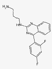 NCCCNc1nc(-c2ccc(F)cc2F)c2ccccc2n1